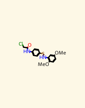 COc1ccc(OC)c(NSc2ccc(NC(=O)CCl)cc2)c1